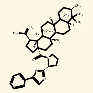 C=C(C)[C@@H]1CC[C@]2(C(=O)N3CCC[C@@H]3c3ncc(-c4ccccc4)[nH]3)CC[C@]3(C)[C@H](CC[C@@H]4[C@@]5(C)CC[C@H](C)C(C)(C)[C@@H]5CC[C@]43C)[C@@H]12